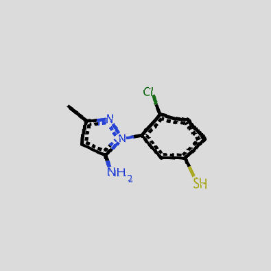 Cc1cc(N)n(-c2cc(S)ccc2Cl)n1